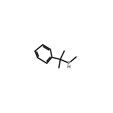 [CH2]PC(C)(C)c1ccccc1